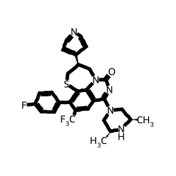 C[C@@H]1CN(c2nc(=O)n3c4c(c(-c5ccc(F)cc5)c(C(F)(F)F)cc24)SC[C@@H](c2ccncc2)C3)C[C@H](C)N1